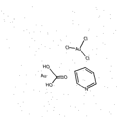 O=C(O)O.[Au].[Cl][Au]([Cl])[Cl].c1ccncc1